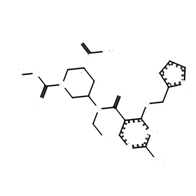 COC(=O)[C@@H]1CC(N(CC(C)C)C(=O)c2cnc(C(C)(C)C)nc2NCc2ccco2)CN(C(=O)OC(C)(C)C)C1